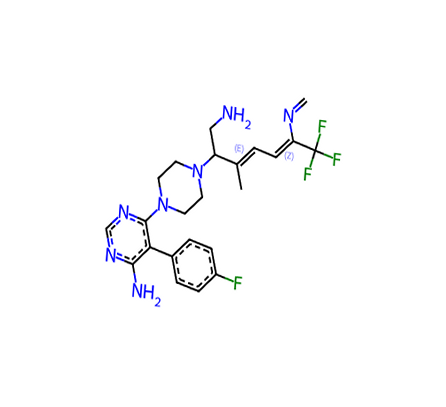 C=N/C(=C\C=C(/C)C(CN)N1CCN(c2ncnc(N)c2-c2ccc(F)cc2)CC1)C(F)(F)F